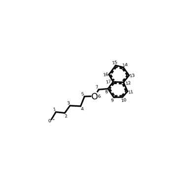 [CH2]CCCCCOCc1cccc2ccccc12